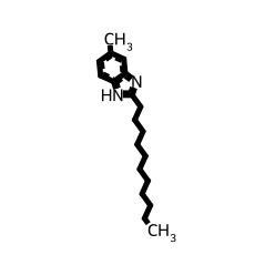 CCCCCCCCCCCc1nc2cc(C)ccc2[nH]1